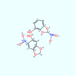 O=[N+]([O-])C1Oc2cccc(O)c2O1.O=[N+]([O-])c1cc2c(cc1O)OCO2